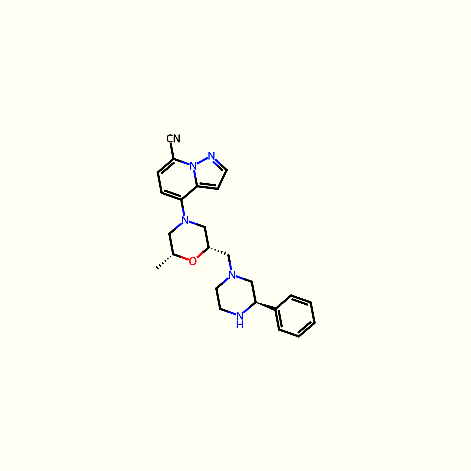 C[C@@H]1CN(c2ccc(C#N)n3nccc23)C[C@H](CN2CCN[C@H](c3ccccc3)C2)O1